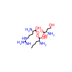 CCCCC(N)C(=O)O.N=C(N)NCCC[C@H](N)C(=O)O.N[C@@H](CCO)C(=O)O